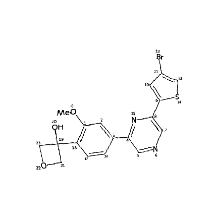 COc1cc(-c2cncc(-c3cc(Br)cs3)n2)ccc1C1(O)COC1